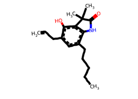 C=CCc1cc(CCCCC)c2c(c1O)C(C)(C)C(=O)N2